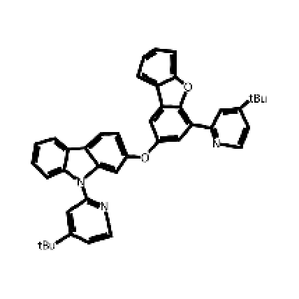 CC(C)(C)c1ccnc(-c2cc(Oc3ccc4c5ccccc5n(-c5cc(C(C)(C)C)ccn5)c4c3)cc3c2oc2ccccc23)c1